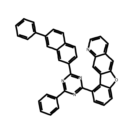 c1ccc(-c2ccc3ccc(-c4nc(-c5ccccc5)nc(-c5cccc6oc7cc8cccnc8cc7c56)n4)cc3c2)cc1